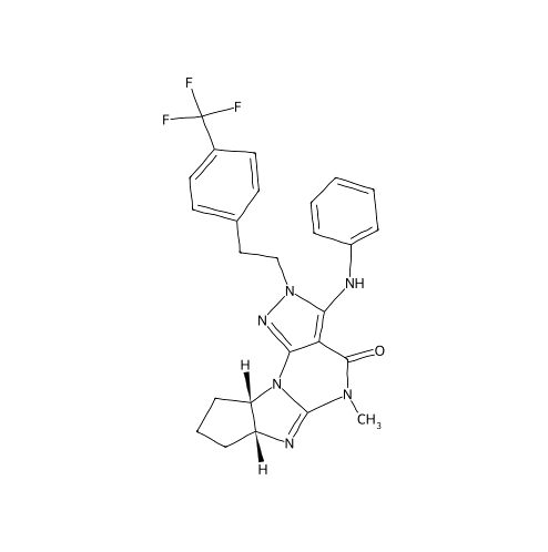 CN1C(=O)c2c(nn(CCc3ccc(C(F)(F)F)cc3)c2Nc2ccccc2)N2C1=N[C@@H]1CCC[C@@H]12